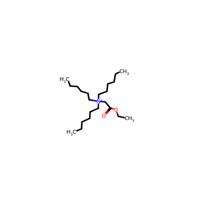 CCCCCC[N+](CCCCCC)(CCCCCC)CC(=O)OCC